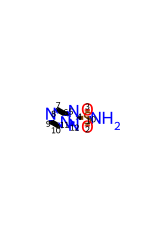 NS(=O)(=O)c1nc2cnccn2n1